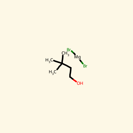 CC(C)(C)CCO.[Br][Mg][Br]